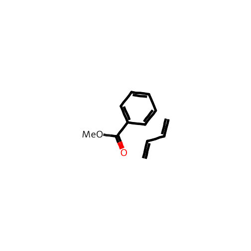 C=CC=C.COC(=O)c1ccccc1